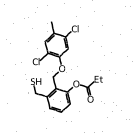 CCC(=O)Oc1cccc(CS)c1COc1cc(Cl)c(C)cc1Cl